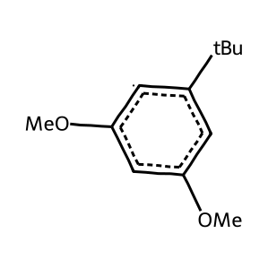 COc1[c]c(C(C)(C)C)cc(OC)c1